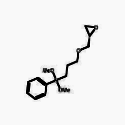 CO[Si](CCCOC[C@H]1CO1)(OC)c1ccccc1